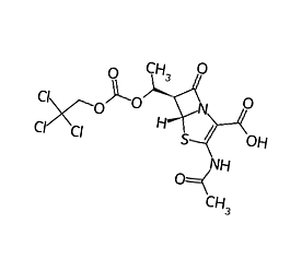 CC(=O)NC1=C(C(=O)O)N2C(=O)[C@H](C(C)OC(=O)OCC(Cl)(Cl)Cl)[C@H]2S1